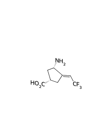 N[C@H]1C[C@@H](C(=O)O)C/C1=C\C(F)(F)F